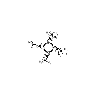 CC(C)(C)OC(=O)CN1CCN(CC(=O)OCC(=O)O)CCN(CC(=O)OC(C)(C)C)CCN(CC(=O)OC(C)(C)C)CC1